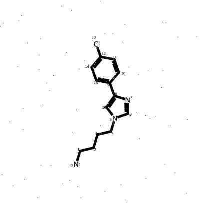 [N]CCCCn1cnc(-c2ccc(Cl)cc2)c1